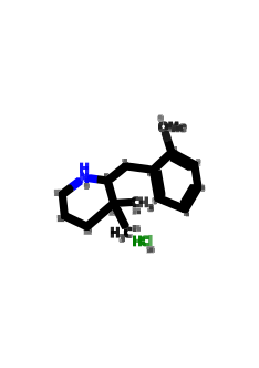 COc1ccccc1CC1NCCCC1(C)C.Cl